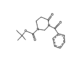 CC(C)(C)OC(=O)N1CCC(=O)N(C(=O)c2ccccc2)C1